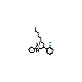 CCCCCCCC(C[SiH](Cl)C1CCCC1)c1ccccc1Cl